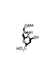 COCN1C=C2N=C(C(=O)O)C=C(S)N2N1